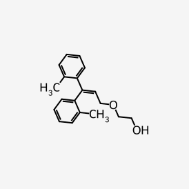 Cc1ccccc1C(=CCOCCO)c1ccccc1C